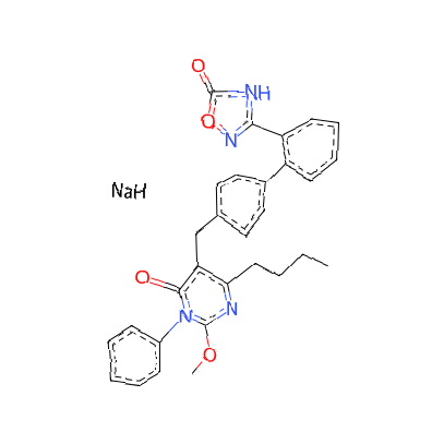 CCCCc1nc(OC)n(-c2ccccc2)c(=O)c1Cc1ccc(-c2ccccc2-c2noc(=O)[nH]2)cc1.[NaH]